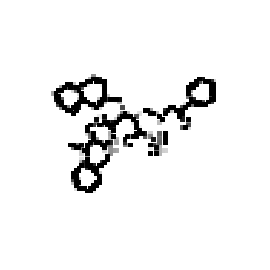 CNC(=O)[C@H](Cc1ccccc1)NC(=O)[C@H](Cc1ccc2ccccc2c1)[C@H](CSCC(=O)c1ccccc1)C(=O)NO